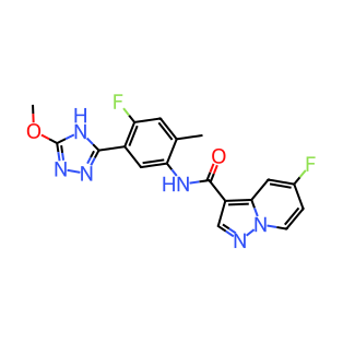 COc1nnc(-c2cc(NC(=O)c3cnn4ccc(F)cc34)c(C)cc2F)[nH]1